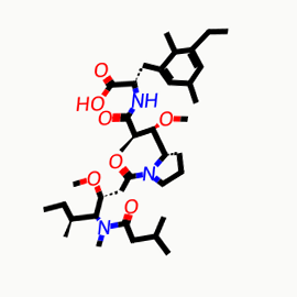 CCC1=CC(C)C=C(C[C@H](NC(=O)[C@H](C)[C@@H](OC)[C@@H]2CCCN2C(=O)C[C@@H](OC)[C@H]([C@@H](C)CC)N(C)C(=O)CC(C)C)C(=O)O)C1C